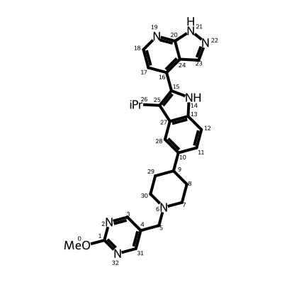 COc1ncc(CN2CCC(c3ccc4[nH]c(-c5ccnc6[nH]ncc56)c(C(C)C)c4c3)CC2)cn1